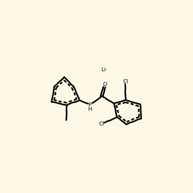 Cc1ccccc1PC(=O)c1c(Cl)cccc1Cl.[Li]